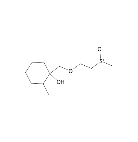 CC1CCCCC1(O)COCC[S+](C)[O-]